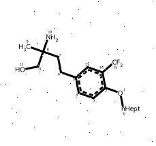 CCCCCCCOc1ccc(CCC(C)(N)CO)cc1C(F)(F)F